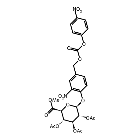 COC(=O)[C@H]1O[C@@H](Oc2ccc(COC(=O)Oc3ccc([N+](=O)[O-])cc3)cc2[N+](=O)[O-])[C@H](OC(C)=O)[C@@H](OC(C)=O)[C@@H]1OC(C)=O